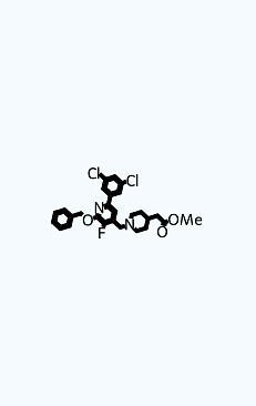 COC(=O)CC1CCN(Cc2cc(-c3cc(Cl)cc(Cl)c3)nc(OCc3ccccc3)c2F)CC1